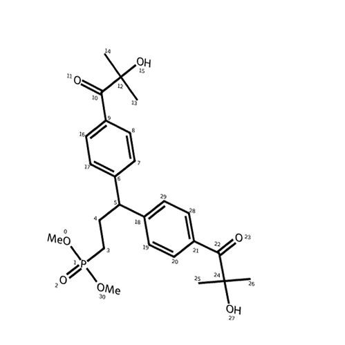 COP(=O)(CCC(c1ccc(C(=O)C(C)(C)O)cc1)c1ccc(C(=O)C(C)(C)O)cc1)OC